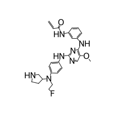 C=CC(=O)Nc1cccc(Nc2nc(Nc3ccc(N(CCF)C4CCNC4)cc3)ncc2OC)c1